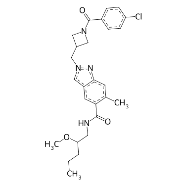 CCCC(CNC(=O)c1cc2cn(CC3CN(C(=O)c4ccc(Cl)cc4)C3)nc2cc1C)OC